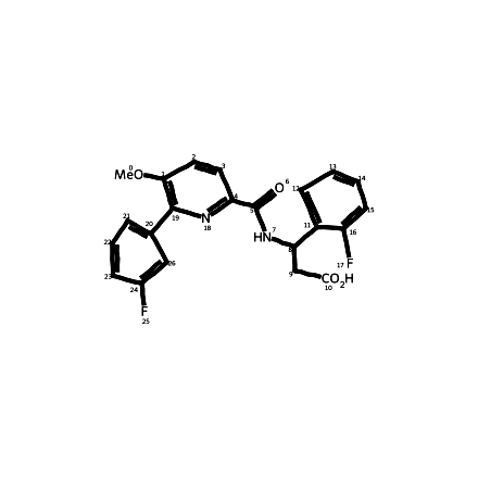 COc1ccc(C(=O)NC(CC(=O)O)c2ccccc2F)nc1-c1cccc(F)c1